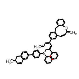 C=C/C=C(\C=C(/CN(c1ccccc1)c1ccc(-c2ccc3c(c2)C=CC(C)C3)cc1)c1ccccc1)c1ccc2c(c1)/C=C\C(=C)Oc1ccccc1C2